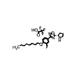 CCCCCCCCOc1ccc(-c2noc([C@@H]3CCCN3)n2)cc1F.O=C(O)C(F)(F)F